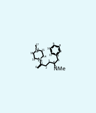 C=C(CCC(Cc1ccccc1)NC)N1CCN(C)CC1